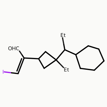 CCC(C1CCCCC1)C1(CC)CC(C(C=O)=CI)C1